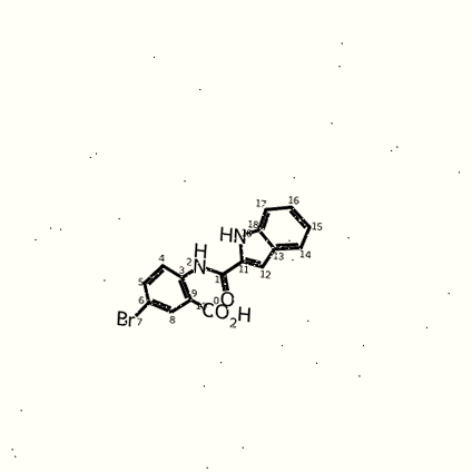 O=C(Nc1ccc(Br)cc1C(=O)O)c1cc2ccccc2[nH]1